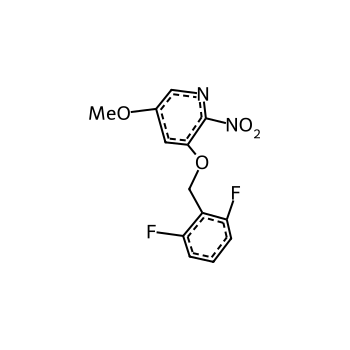 COc1cnc([N+](=O)[O-])c(OCc2c(F)cccc2F)c1